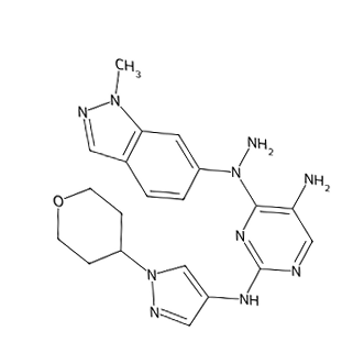 Cn1ncc2ccc(N(N)c3nc(Nc4cnn(C5CCOCC5)c4)ncc3N)cc21